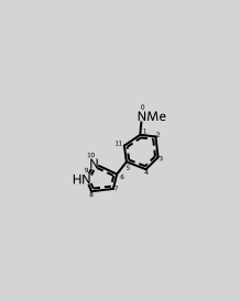 CNc1cccc(-c2cc[nH]n2)c1